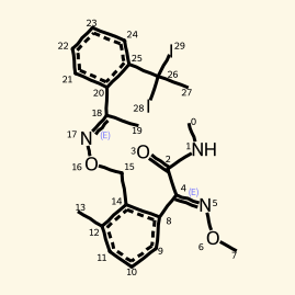 CNC(=O)/C(=N/OC)c1cccc(C)c1CO/N=C(\C)c1ccccc1C(C)(I)I